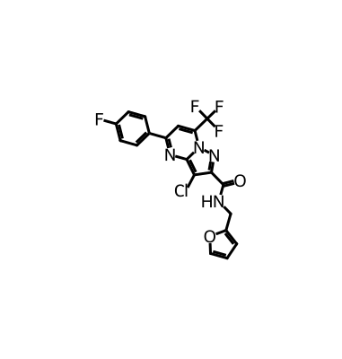 O=C(NCc1ccco1)c1nn2c(C(F)(F)F)cc(-c3ccc(F)cc3)nc2c1Cl